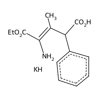 CCOC(=O)C(N)=C(C)C(C(=O)O)c1ccccc1.[KH]